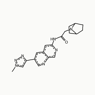 Cn1cc(-c2cnc3cnc(NC(=O)CN4C5CCC4CC5)cc3c2)nn1